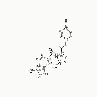 C[C@@H]1CC[C@H](CCc2ccc(F)cc2)N1C(=O)c1ccc2c(c1)CCN2C